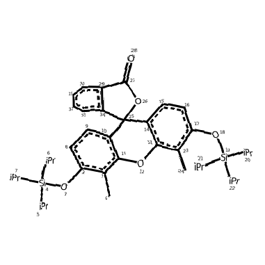 Cc1c(O[Si](C(C)C)(C(C)C)C(C)C)ccc2c1Oc1c(ccc(O[Si](C(C)C)(C(C)C)C(C)C)c1C)C21OC(=O)c2ccccc21